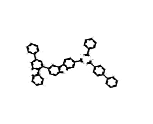 c1ccc(-c2ccc(-c3nc(-c4ccccc4)nc(-c4ccc5c(c4)sc4ccc(-c6cc(-c7ccccc7)cc7sc8ccccc8c67)cc45)n3)cc2)cc1